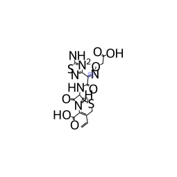 C=CC1=C(C(=O)O)N2C(=O)C(NC(=O)/C(=N/OCC(=O)O)c3nsc(N)n3)[C@H]2SC1